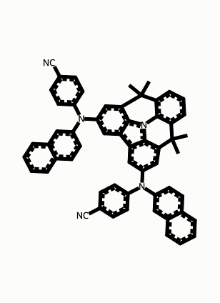 CC1(C)c2cccc3c2-n2c4c1cc(N(c1ccc(C#N)cc1)c1ccc5ccccc5c1)cc4c1cc(N(c4ccc(C#N)cc4)c4ccc5ccccc5c4)cc(c12)C3(C)C